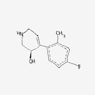 Cc1cc(F)ccc1C1=CCNC[C@@H]1O